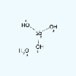 O.[OH][Sb]([OH])[OH]